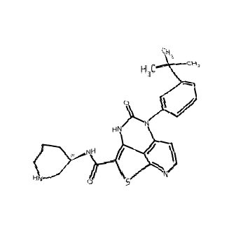 CC(C)(C)c1cccc(N2C(=O)Nc3c(C(=O)N[C@@H]4CCCNC4)sc4nccc2c34)c1